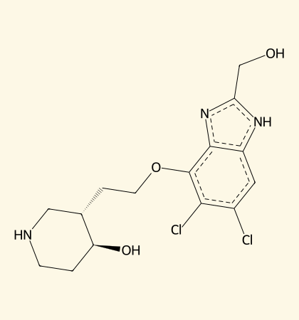 OCc1nc2c(OCC[C@H]3CNCC[C@@H]3O)c(Cl)c(Cl)cc2[nH]1